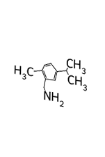 Cc1ccc(C(C)C)cc1CN